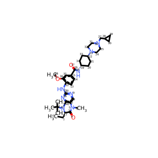 CC[C@@H]1C(=O)N(C)c2cnc(Nc3ccc(C(=O)N[C@H]4CC[C@H](N5CCN(CC6CC6)CC5)CC4)cc3OC)nc2N1C(C)(C)C